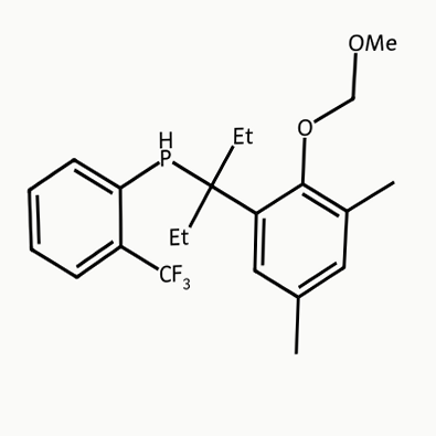 CCC(CC)(Pc1ccccc1C(F)(F)F)c1cc(C)cc(C)c1OCOC